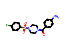 Nc1ccc(C(=O)N2CCN(S(=O)(=O)c3ccc(F)cc3)CC2)cc1